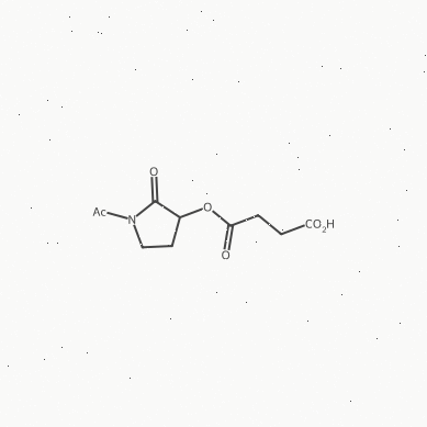 CC(=O)N1CCC(OC(=O)CCC(=O)O)C1=O